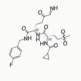 CS(=O)(=O)CC[C@H](NC(=O)C1CC1)C(=O)N[C@@H](CCC(=O)C=N)C(=O)NCc1ccc(F)cc1